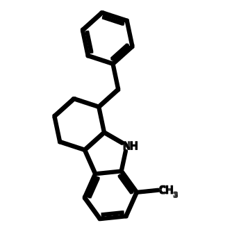 Cc1cccc2c1NC1C(Cc3ccccc3)CCCC21